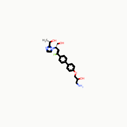 C[C@H](O)c1nccn1[C@@H](/C=C(\F)c1ccc(-c2ccc(OCC(O)CN)cc2)cc1)CO